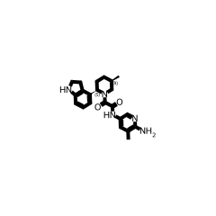 Cc1cc(NC(=O)C(=O)N2C[C@H](C)CC[C@H]2c2cccc3c2CCN3)cnc1N